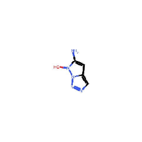 Nc1cc2cnnn2n1O